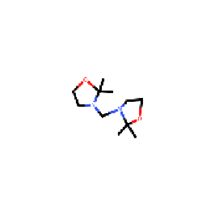 CC1(C)OCCN1CN1CCOC1(C)C